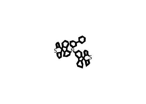 c1ccc(-c2cccc(N(c3ccc4c(c3)-c3ccccc3C43c4ccccc4Sc4ccccc43)c3cccc4c3-c3ccccc3C43c4ccccc4Sc4ccccc43)c2)cc1